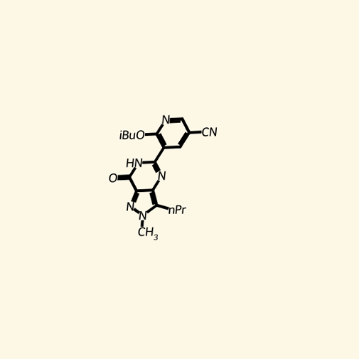 CCCc1c2nc(-c3cc(C#N)cnc3OCC(C)C)[nH]c(=O)c2nn1C